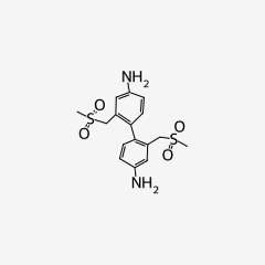 CS(=O)(=O)Cc1cc(N)ccc1-c1ccc(N)cc1CS(C)(=O)=O